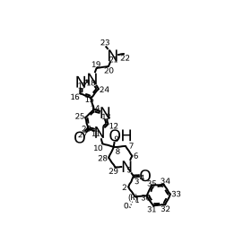 C[C@H](CC(=O)N1CCC(O)(Cn2cnc(-c3cnn(CCN(C)C)c3)cc2=O)CC1)c1ccccc1